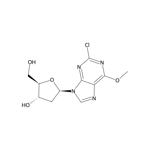 COc1nc(Cl)nc2c1ncn2[C@H]1C[C@H](O)[C@@H](CO)O1